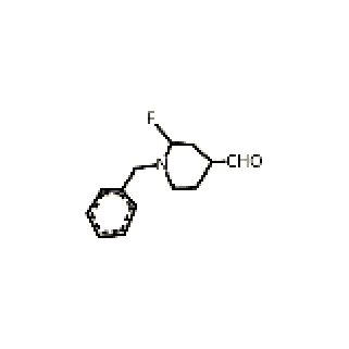 O=CC1CCN(Cc2ccccc2)C(F)C1